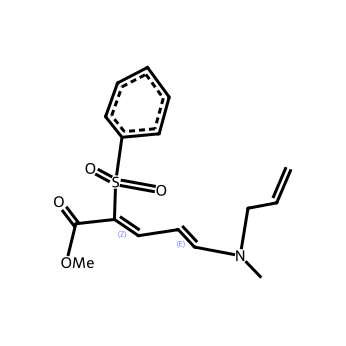 C=CCN(C)/C=C/C=C(/C(=O)OC)S(=O)(=O)c1ccccc1